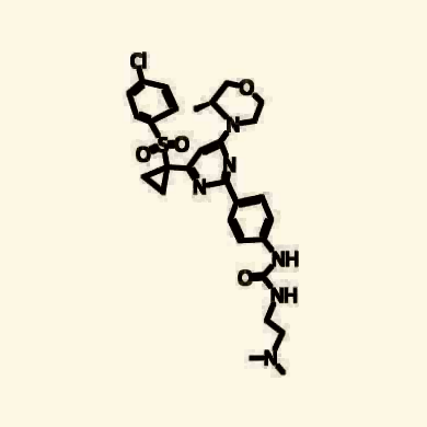 C[C@H]1COCCN1c1cc(C2(S(=O)(=O)c3ccc(Cl)cc3)CC2)nc(-c2ccc(NC(=O)NCCN(C)C)cc2)n1